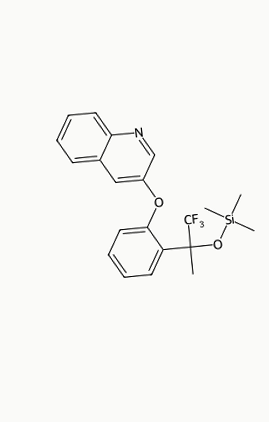 CC(O[Si](C)(C)C)(c1ccccc1Oc1cnc2ccccc2c1)C(F)(F)F